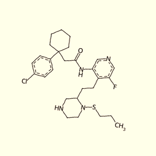 CCCSN1CCNCC1CCc1c(F)cncc1NC(=O)CC1(c2ccc(Cl)cc2)CCCCC1